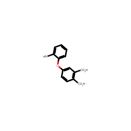 C[C]Cc1ccccc1Oc1ccc(C(=O)O)c(C(=O)O)c1